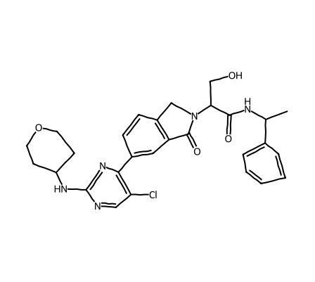 CC(NC(=O)C(CO)N1Cc2ccc(-c3nc(NC4CCOCC4)ncc3Cl)cc2C1=O)c1ccccc1